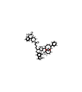 Cc1cc(C[C@@H](CCCC(=O)N2CCC3(CC2)OC(=O)Nc2ncccc23)C(=O)N[C@@H](CC2CCCCCC2)C(=O)C2CCCCC(c3ccncc3)CCC2)cc2cn[nH]c12